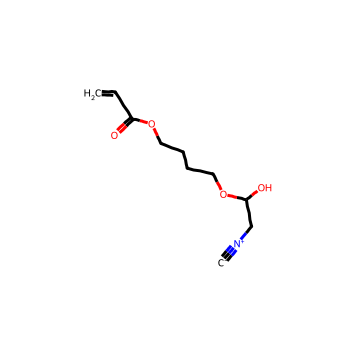 [C-]#[N+]CC(O)OCCCCOC(=O)C=C